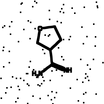 N=C(N)C1CCOC1